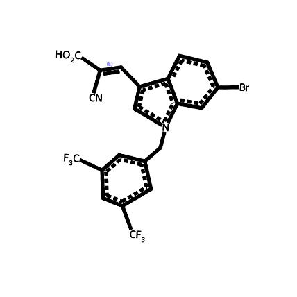 N#C/C(=C\c1cn(Cc2cc(C(F)(F)F)cc(C(F)(F)F)c2)c2cc(Br)ccc12)C(=O)O